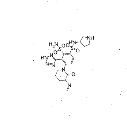 C=NC1CCCN(c2ccc(S(=O)(=O)N[C@@H]3CCNC3)c(S(N)(=O)=O)c2-c2nn[nH]n2)C1=O